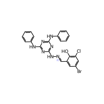 Oc1c(Cl)cc(Br)cc1/C=N/Nc1nc(Nc2ccccc2)nc(Nc2ccccc2)n1